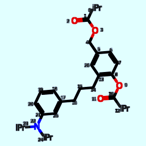 CC(C)C(=O)OCc1ccc(OC(=O)C(C)C)c(CCCc2cccc(N(C(C)C)C(C)C)c2)c1